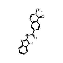 Cn1cnc2cc(C(=O)Nc3nc4ccccc4[nH]3)ccc2c1=O